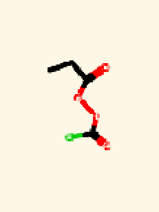 CCC(=O)OOC(=O)Cl